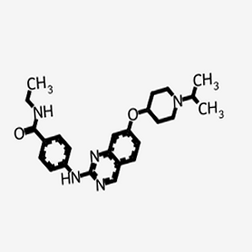 CCNC(=O)c1ccc(Nc2ncc3ccc(OC4CCN(C(C)C)CC4)cc3n2)cc1